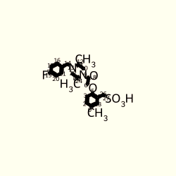 Cc1ccc(OCC(=O)N2C[C@H](C)N(Cc3ccc(F)cc3)C[C@H]2C)c(CS(=O)(=O)O)c1